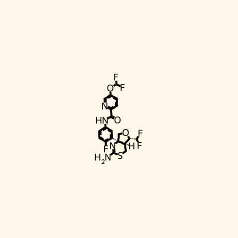 NC1=N[C@@]2(c3cc(NC(=O)c4ccc(OC(F)F)cn4)ccc3F)CO[C@H](C(F)F)[C@H]2CS1